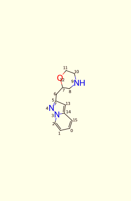 c1ccn2nc(CC3CNCCO3)cc2c1